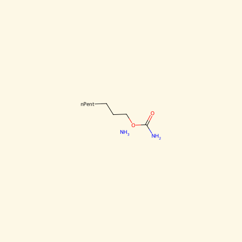 CCCCCCCCOC(N)=O.N